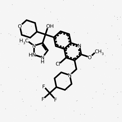 COc1nc2ccc(C(O)(C3=CNNN3C)C3CCOCC3)cc2c(Cl)c1CN1CCC(C(F)(F)F)CC1